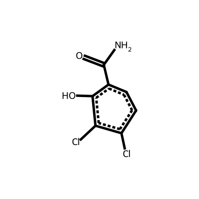 NC(=O)c1ccc(Cl)c(Cl)c1O